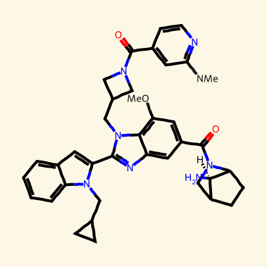 CNc1cc(C(=O)N2CC(Cn3c(-c4cc5ccccc5n4CC4CC4)nc4cc(C(=O)N5CC6CCC5[C@@H]6N)cc(OC)c43)C2)ccn1